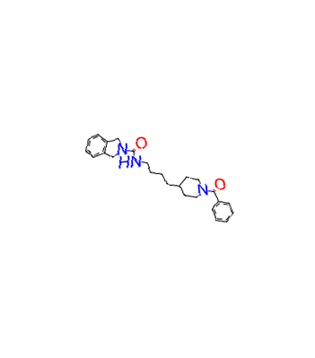 O=C(NCCCCC1CCN(C(=O)c2ccccc2)CC1)N1Cc2ccccc2C1